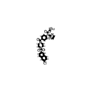 CC(C)(C)OC(=O)N(c1ncc[nH]1)[C@H]1CC[C@H](C(=O)N2CCN(S(=O)(=O)c3ccc4cc(Cl)ccc4c3)CC2)CC1